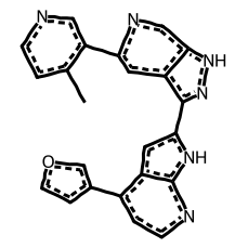 Cc1ccncc1-c1cc2c(-c3cc4c(-c5ccoc5)ccnc4[nH]3)n[nH]c2cn1